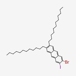 CCCCCCCCCCCCc1cc2cc3cc(Br)c(I)cc3cc2cc1CCCCCCCCCCCC